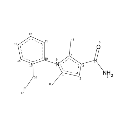 Cc1cc(C(N)=O)c(C)n1-c1ccccc1CF